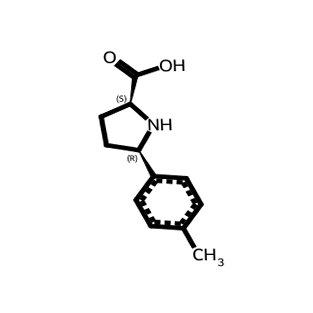 Cc1ccc([C@H]2CC[C@@H](C(=O)O)N2)cc1